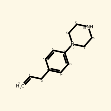 C=CCc1ccc(N2[CH]CNCC2)cc1